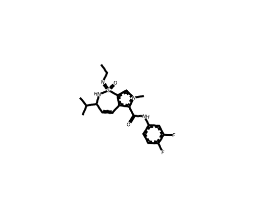 CCN=S1(=O)NC(C(C)C)C=Cc2c1cn(C)c2C(=O)Nc1ccc(F)c(F)c1